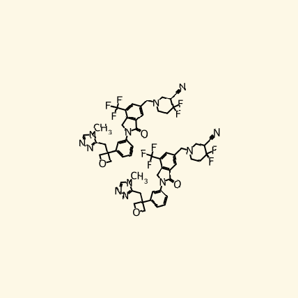 Cn1cnnc1CC1(c2cccc(N3Cc4c(cc(CN5CCC(F)(F)C(C#N)C5)cc4C(F)(F)F)C3=O)c2)COC1.Cn1cnnc1CC1(c2cccc(N3Cc4c(cc(CN5CCC(F)(F)C(C#N)C5)cc4C(F)(F)F)C3=O)c2)COC1